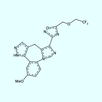 COc1ccc2c(c1)-c1[nH]ncc1Cc1c(-c3noc(COCC(F)(F)F)n3)ncn1-2